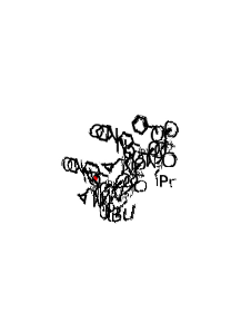 CC(C)CC[C@@H](C(=O)O[C@H](C)C(=O)OCc1ccccc1)N(C)C(=O)[C@@H](Cc1ccc(N2CCOCC2)nc1)OC(=O)[C@H](CC1CC1)N(C)C(=O)[C@@H](C)OC(=O)[C@H](CC(C)C)N(C)C(=O)[C@@H](Cc1ccc(N2CCOCC2)nc1)OC(=O)[C@H](CC1CC1)N(C)C(=O)OC(C)(C)C